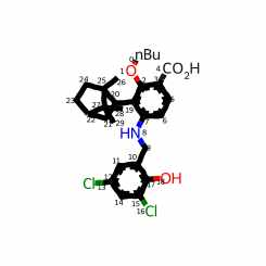 CCCCOc1c(C(=O)O)ccc(NCc2cc(Cl)cc(Cl)c2O)c1C1CC2CCC1(C)C2(C)C